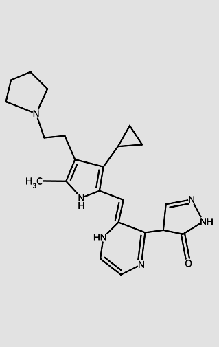 Cc1[nH]c(C=C2NC=CN=C2C2C=NNC2=O)c(C2CC2)c1CCN1CCCC1